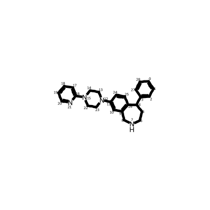 c1ccc(C2CCNCc3cc(N4CCN(c5ccccn5)CC4)ccc32)cc1